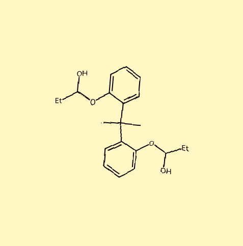 [CH2]C(C)(c1ccccc1OC(O)CC)c1ccccc1OC(O)CC